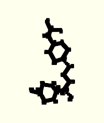 CC(C)O[C@H]1CC[C@H](CCC[C@H](C)N2CCN(C)CC2)CC1